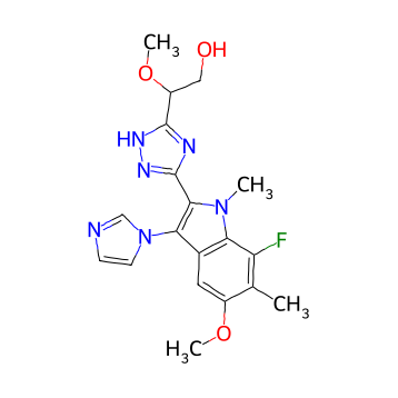 COc1cc2c(-n3ccnc3)c(-c3n[nH]c(C(CO)OC)n3)n(C)c2c(F)c1C